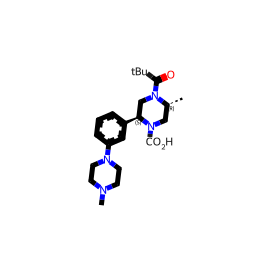 C[C@@H]1CN(C(=O)O)[C@@H](c2cccc(N3CCN(C)CC3)c2)CN1C(=O)C(C)(C)C